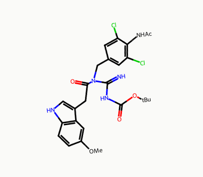 COc1ccc2[nH]cc(CC(=O)N(Cc3cc(Cl)c(NC(C)=O)c(Cl)c3)C(=N)NC(=O)OC(C)(C)C)c2c1